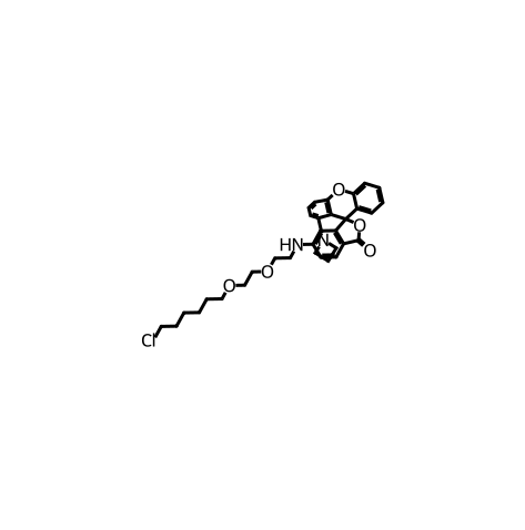 O=C1OC2(c3ccccc3Oc3cccc(N4CCC4)c32)c2cc(NCCOCCOCCCCCCCl)ccc21